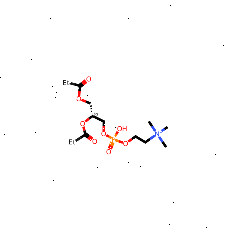 CCC(=O)OC[C@H](COP(=O)(O)OCC[N+](C)(C)C)OC(=O)CC